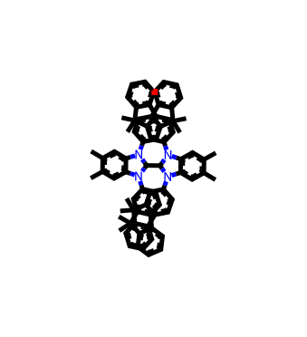 Cc1cc2c(cc1C)N(c1ccc3c(c1)C(C)(C)c1ccccc1-3)C(C1N(c3ccc4c(c3)C(C)(C)c3ccccc3-4)c3cc(C)c(C)cc3N1c1ccc3c(c1)C(C)(C)c1ccccc1-3)N2c1ccc2c(c1)C(C)(C)c1ccccc1-2